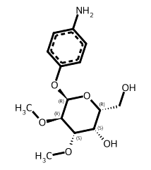 CO[C@H]1[C@@H](Oc2ccc(N)cc2)O[C@H](CO)[C@H](O)[C@@H]1OC